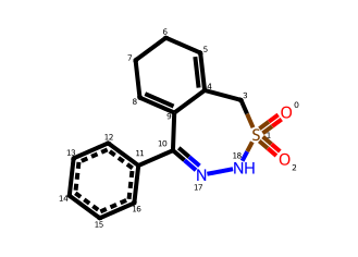 O=S1(=O)CC2=CCCC=C2C(c2ccccc2)=NN1